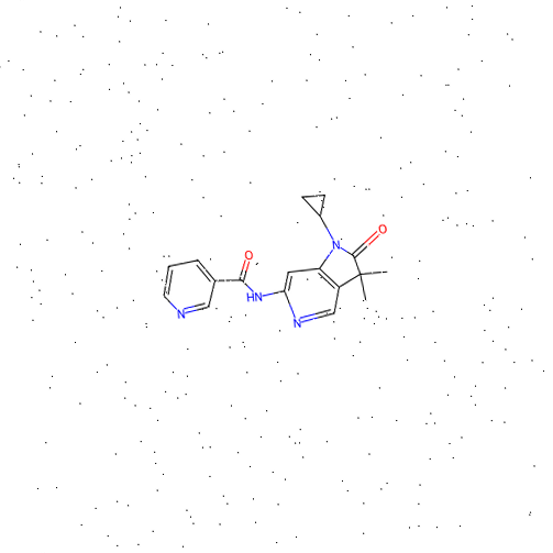 CC1(C)C(=O)N(C2CC2)c2cc(NC(=O)c3cccnc3)ncc21